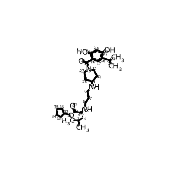 CC(C)C[C@@H](NCCCNC1CCN(C(=O)c2cc(C(C)C)c(O)cc2O)CC1)C(=O)OC1CCCC1